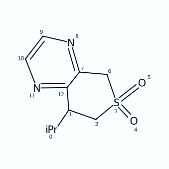 CC(C)C1CS(=O)(=O)Cc2nccnc21